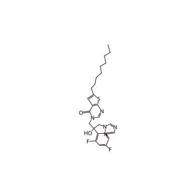 CCCCCCCCCc1cc2c(=O)n(CC(O)(Cn3cncn3)c3ccc(F)cc3F)cnc2s1